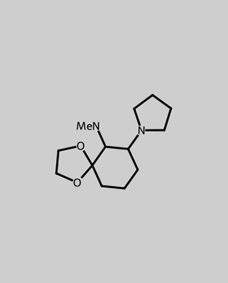 CNC1C(N2CCCC2)CCCC12OCCO2